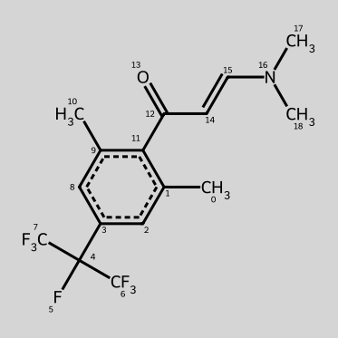 Cc1cc(C(F)(C(F)(F)F)C(F)(F)F)cc(C)c1C(=O)C=CN(C)C